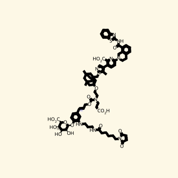 Cc1c(-c2ccc(N3CCc4cccc(C(=O)Nc5nc6ccccc6s5)c4C3)nc2C(=O)O)cnn1CC12CC3(C)CC(C)(C1)CC(OCCN(CCC(=O)O)C(=O)OC/C=C/c1ccc(O[C@@H]4O[C@H](C(=O)O)[C@@H](O)[C@H](O)[C@H]4O)c(NCCCNC(=O)CCCCCN4C(=O)C=CC4=O)c1)(C3)C2